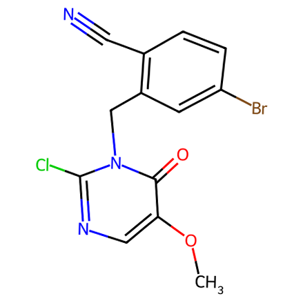 COc1cnc(Cl)n(Cc2cc(Br)ccc2C#N)c1=O